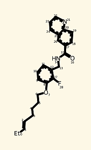 CCC=CCCCCOc1cccc(CNC(=O)c2ccc3ncccc3c2)c1F